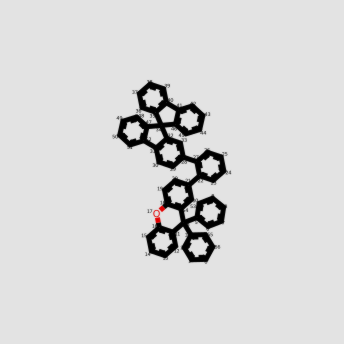 c1ccc(C2(c3ccccc3)c3ccccc3Oc3ccc(-c4ccccc4-c4ccc5c(c4)C4(c6ccccc6-c6ccccc64)c4ccccc4-5)cc32)cc1